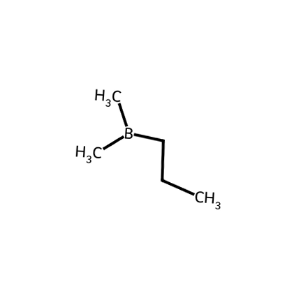 CCCB(C)C